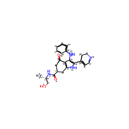 C[C@@H](CO)NC(=O)C1CC(=O)c2c([nH]c(C3=CC=NCC3)c2NC2=C=C=CC=C2)C1